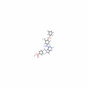 COC(=O)c1ccc(Cn2ccc3ncnc(Nc4ccc(OCc5cccc(F)c5)c(Cl)c4)c32)cc1